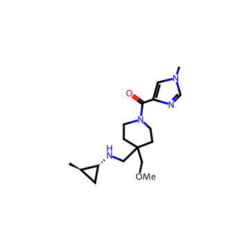 COCC1(CN[C@@H]2C[C@H]2C)CCN(C(=O)c2cn(C)cn2)CC1